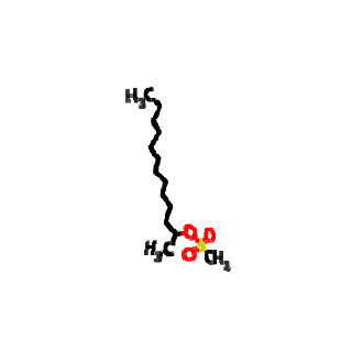 CCCCCCCCCCCC(C)OS(C)(=O)=O